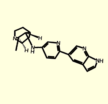 C[C@@H]1[C@@H](Nc2ccc(-c3cnc4[nH]ccc4c3)nc2)C2CCN1CC2